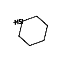 C1CC[SiH]CC1